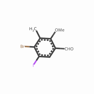 COc1c(C=O)cc(I)c(Br)c1C